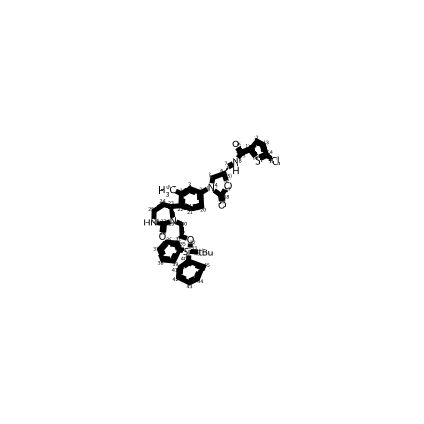 Cc1cc(N2C[C@H](CNC(=O)c3ccc(Cl)s3)OC2=O)ccc1C1CCNC(=O)N1CCO[Si](c1ccccc1)(c1ccccc1)C(C)(C)C